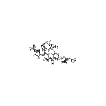 COCn1cc(-c2nccc(Nc3cc(NC4CCC(C)(O)CC4)c(-c4ccn(C(F)F)n4)cn3)n2)cn1